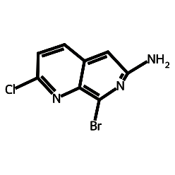 Nc1cc2ccc(Cl)nc2c(Br)n1